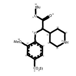 CCOC(=O)c1ccc(OC(C(=O)OC(C)(C)C)C2CCNCC2)c(OC)c1